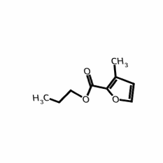 CCCOC(=O)c1occc1C